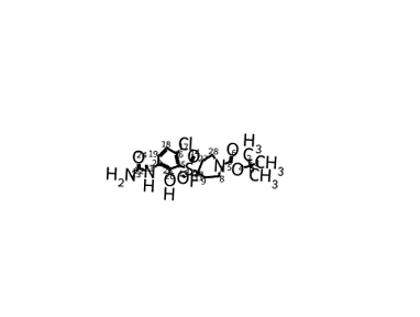 CC(C)(C)OC(=O)N1CCC(F)(S(=O)(=O)c2c(Cl)ccc(NC(N)=O)c2O)CC1